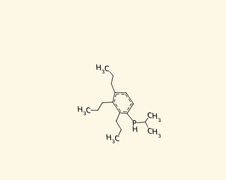 CCCc1ccc(PC(C)C)c(CCC)c1CCC